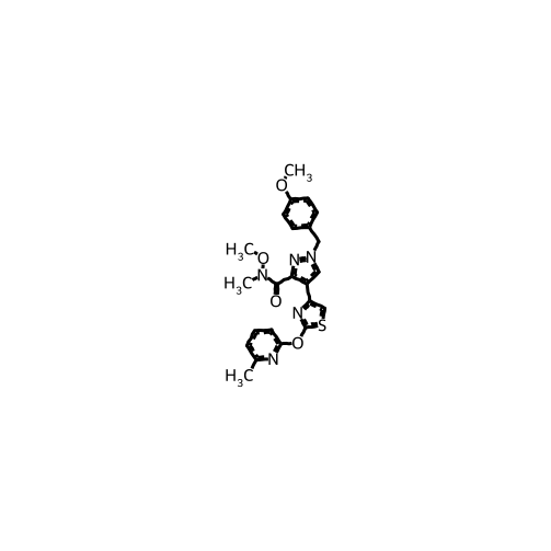 COc1ccc(Cn2cc(-c3csc(Oc4cccc(C)n4)n3)c(C(=O)N(C)OC)n2)cc1